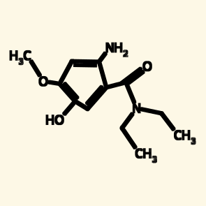 CCN(CC)C(=O)c1cc(O)c(OC)cc1N